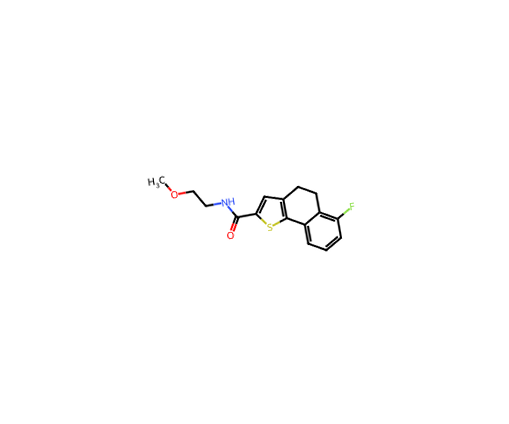 COCCNC(=O)c1cc2c(s1)-c1cccc(F)c1CC2